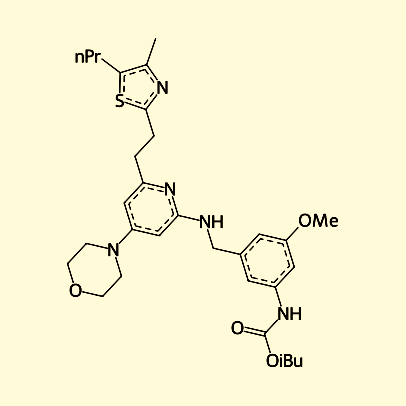 CCCc1sc(CCc2cc(N3CCOCC3)cc(NCc3cc(NC(=O)OCC(C)C)cc(OC)c3)n2)nc1C